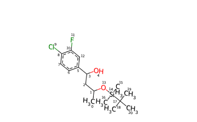 CC(CC(O)c1ccc(Cl)c(F)c1)O[Si](C)(C)C(C)(C)C